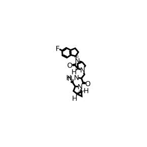 N#CC1C[C@@H]2C[C@@H]2N1C(=O)C(N)CN1CC2C[C@H]1C(=O)N2[C@H]1CCc2cc(F)ccc21